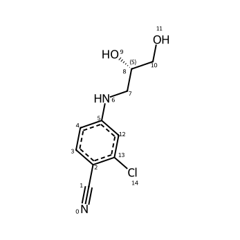 N#Cc1ccc(NC[C@H](O)CO)cc1Cl